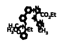 CCOC(=O)c1cnn(-c2cccc(-c3cccc(CN4CC(C)(C)Oc5ccccc5C4CC)c3)c2)c1[C@@H]1C[C@H]1c1cn(C)nn1